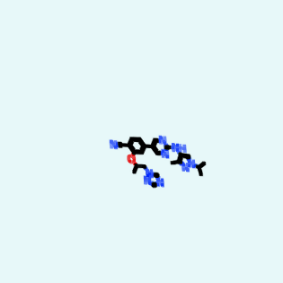 Cc1nn(C(C)C)cc1Nc1ncc(-c2ccc(C#N)c(OC(C)Cn3cncn3)c2)cn1